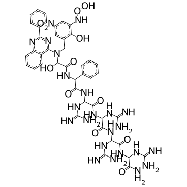 N=C(N)NC(NC(=O)C(NC(=N)N)NC(=O)C(NC(=N)N)NC(=O)C(NC(=N)N)NC(=O)C(NC(=O)C(O)N(Cc1cc([N+](=O)[O-])cc(NOO)c1O)c1nc(-c2ccccc2)nc2ccccc12)c1ccccc1)C(N)=O